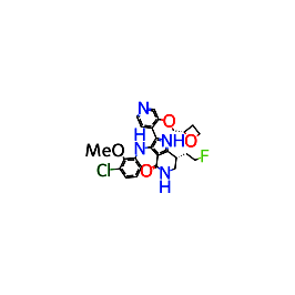 COc1c(Cl)cccc1Nc1c(-c2ccncc2OC[C@@H]2CCO2)[nH]c2c1C(=O)NC[C@H]2CCF